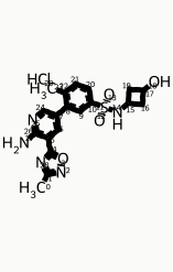 Cc1noc(-c2cc(-c3cc(S(=O)(=O)NC4CC(O)C4)ccc3C)cnc2N)n1.Cl